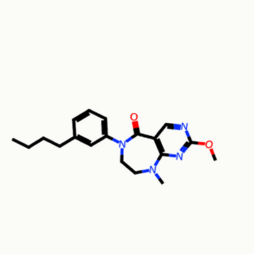 CCCCc1cccc(N2CCN(C)c3nc(OC)ncc3C2=O)c1